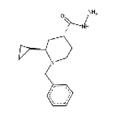 NNC(=O)[C@@H]1CCN(Cc2ccccc2)[C@@H](C2CC2)C1